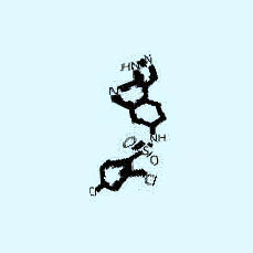 O=S(=O)(NC1CCc2c(cnc3[nH]ncc23)C1)c1ccc(Cl)cc1Cl